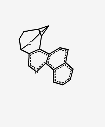 c1ccc2c(c1)ccc1c3c(cnc12)C1CCC2C(CC1)C32